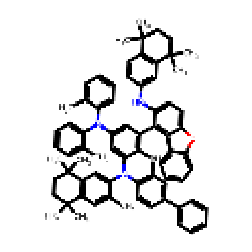 Cc1ccccc1N(c1cc(-c2c(Nc3ccc4c(c3)C(C)(C)CCC4(C)C)ccc3oc4ccccc4c23)c2c(c1)N(c1cc3c(cc1C)C(C)(C)CCC3(C)C)c1ccc(-c3ccccc3)cc1B2)c1ccccc1C